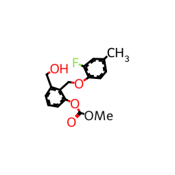 COC(=O)Oc1cccc(CO)c1COc1ccc(C)cc1F